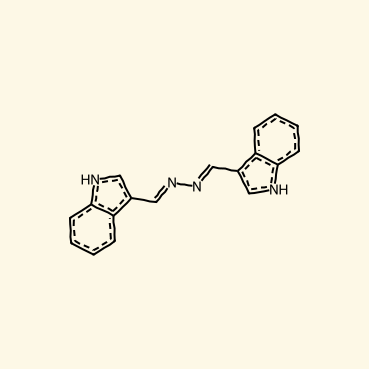 C(=NN=Cc1c[nH]c2ccccc12)c1c[nH]c2ccccc12